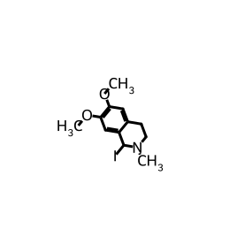 COc1cc2c(cc1OC)C(I)N(C)CC2